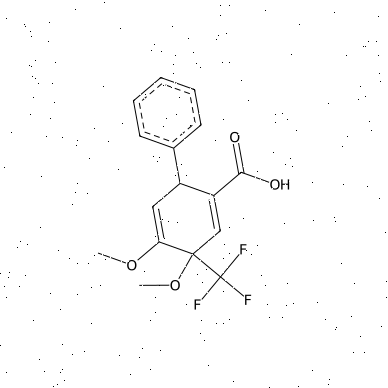 COC1=CC(c2ccccc2)C(C(=O)O)=CC1(OC)C(F)(F)F